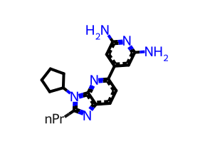 CCCc1nc2ccc(-c3cc(N)nc(N)c3)nc2n1C1CCCC1